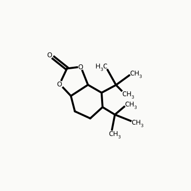 CC(C)(C)C1CCC2OC(=O)OC2C1C(C)(C)C